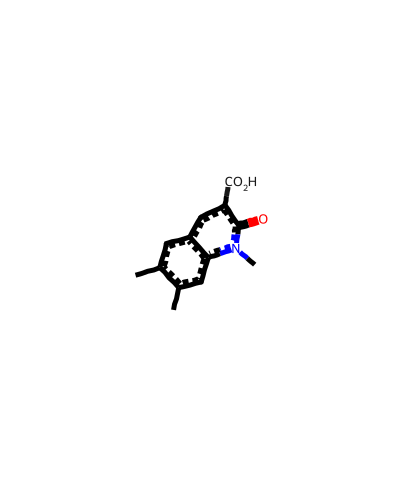 Cc1cc2cc(C(=O)O)c(=O)n(C)c2cc1C